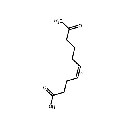 CC(=O)CCC/C=C\CCC(=O)O